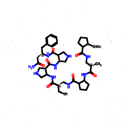 CC(=O)NC1CCCC1C(=O)NC[C@H](C)C(=O)NC1CCCC1C(=O)NC[C@H](CC(C)C)C(=O)NC1CNCC1C(=O)NC1CNCC1C(=O)N[C@H](CC(N)=O)Cc1ccccc1